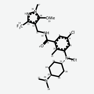 CCN(c1cc(Cl)cc(C(=O)NCc2c(C(F)(F)F)nn(C)c2OC)c1C)[C@H]1CC[C@H](N(C)C)CC1